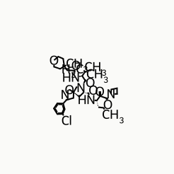 CCC[C@H](NC(=O)[C@@H]1C[C@]2(CC(c3cccc(Cl)c3)=NO2)CN1C(=O)[C@@H](NC(=O)CC1(C)CCOCC1)C(C)(C)C)C(=O)C(=O)N1CCC1